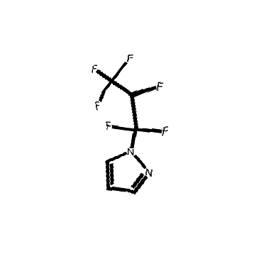 FC(C(F)(F)F)C(F)(F)n1cccn1